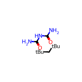 CC(C)(C)CC(C)(C)C.NC(=O)NC(N)=O